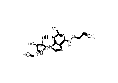 C=CCONc1nc(Cl)nc2c1ncn2[C@@H]1O[C@H](CO)[C@@H](O)[C@H]1O